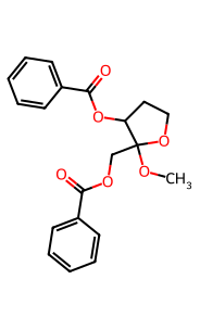 COC1(COC(=O)c2ccccc2)OCCC1OC(=O)c1ccccc1